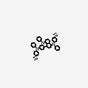 C[Si](C)(C)c1ccc(N(c2ccccc2)c2ccc3c(c2)N(c2ccccc2)c2cccc4c(N(c5ccccc5)c5ccc([Si](C)(C)C)cc5)ccc-3c24)cc1